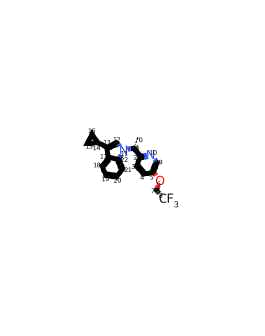 C[C@H](c1ccc(OCC(F)(F)F)cn1)n1cc(C2CC2)c2ccccc21